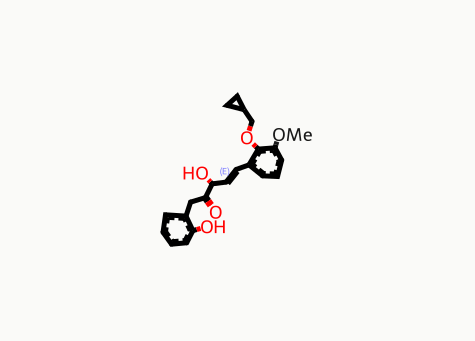 COc1cccc(/C=C/C(O)C(=O)Cc2ccccc2O)c1OCC1CC1